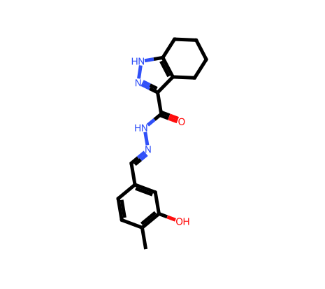 Cc1ccc(/C=N/NC(=O)c2n[nH]c3c2CCCC3)cc1O